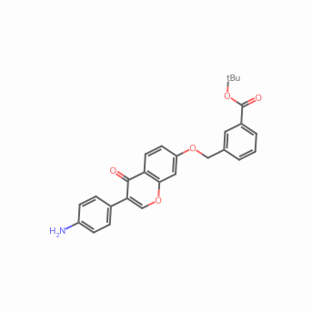 CC(C)(C)OC(=O)c1cccc(COc2ccc3c(=O)c(-c4ccc(N)cc4)coc3c2)c1